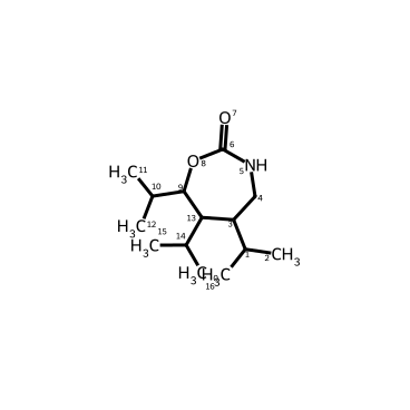 CC(C)C1CNC(=O)OC(C(C)C)C1C(C)C